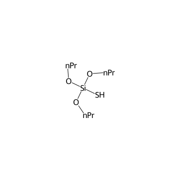 CCCO[Si](S)(OCCC)OCCC